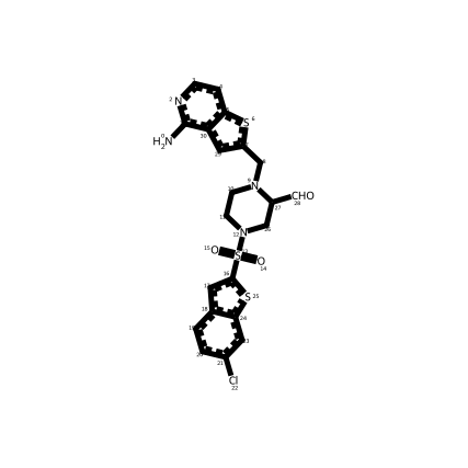 Nc1nccc2sc(CN3CCN(S(=O)(=O)c4cc5ccc(Cl)cc5s4)CC3C=O)cc12